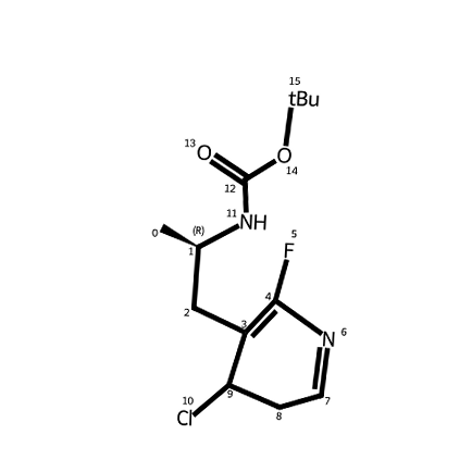 C[C@H](CC1=C(F)N=CCC1Cl)NC(=O)OC(C)(C)C